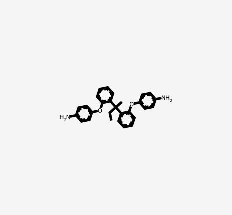 CCC(C)(c1ccccc1Oc1ccc(N)cc1)c1ccccc1Oc1ccc(N)cc1